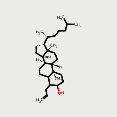 C=CCC1C(O)CC[C@@]2(C)C1CC[C@H]1[C@@H]3CC[C@H]([C@H](C)CCCC(C)C)[C@@]3(C)CC[C@@H]12